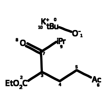 CC(C)(C)[O-].CCOC(=O)C(CCC(C)=O)C(=O)C(C)C.[K+]